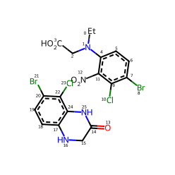 CCN(CC(=O)O)c1ccc(Br)c(Cl)c1[N+](=O)[O-].O=C1CNc2ccc(Br)c(Cl)c2N1